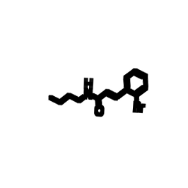 CCCCNC(=O)C=Cc1ccccc1Br